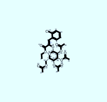 CCOC(=O)/C(=C/c1ccccc1Cl)O[C@H]1O[C@@H](COC(C)=O)[C@@H](OC(C)=O)[C@@H](OC(C)=O)[C@@H]1OC(C)=O